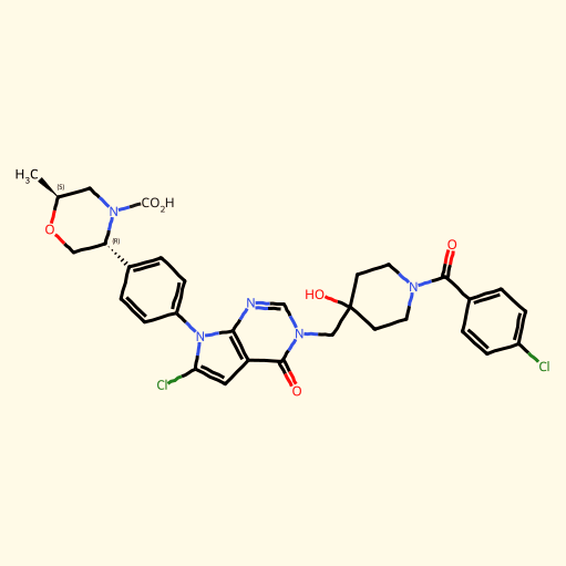 C[C@H]1CN(C(=O)O)[C@H](c2ccc(-n3c(Cl)cc4c(=O)n(CC5(O)CCN(C(=O)c6ccc(Cl)cc6)CC5)cnc43)cc2)CO1